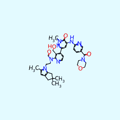 Cc1cc2c(n1CCN(C=O)c1nccc(-c3cc(Nc4ccc(C(=O)N5CCOCC5)cn4)c(=O)n(C)n3)c1CO)CC(C)(C)C2